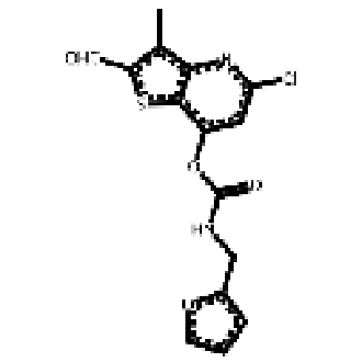 Cc1c(C=O)sc2c(OC(=O)NCc3ccco3)cc(Cl)nc12